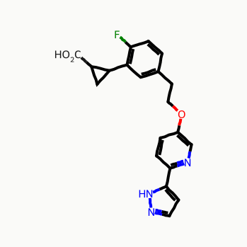 O=C(O)C1CC1c1cc(CCOc2ccc(-c3ccn[nH]3)nc2)ccc1F